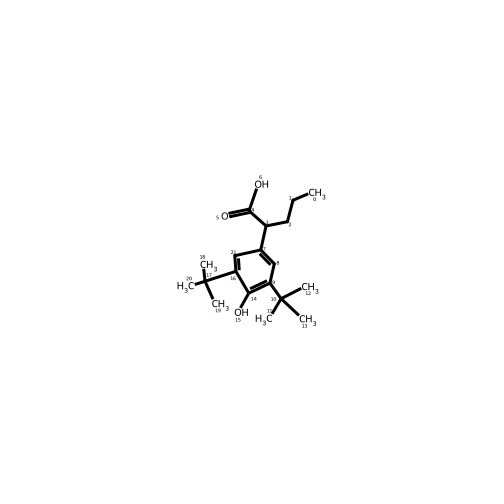 CCCC(C(=O)O)c1cc(C(C)(C)C)c(O)c(C(C)(C)C)c1